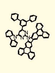 c1ccc(-c2cc(-c3ccccc3)cc(-c3cc(-n4c5ccccc5c5ccccc54)nc(-n4c5cc6c7ccccc7c7ccccc7c6cc5c5cc6c7ccccc7c7ccccc7c6cc54)n3)c2)cc1